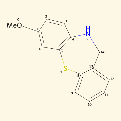 COc1ccc2c(c1)Sc1ccccc1CN2